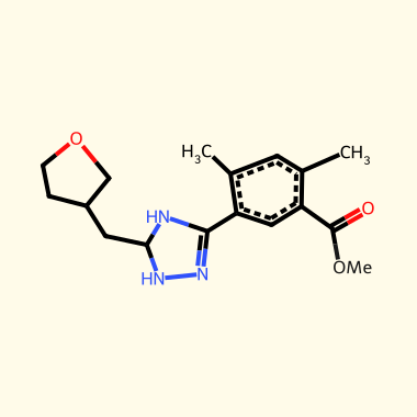 COC(=O)c1cc(C2=NNC(CC3CCOC3)N2)c(C)cc1C